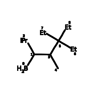 BC(C(C)C)C(C)C(CC)(CC)CC